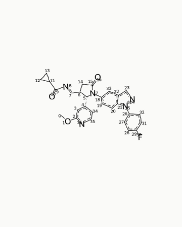 COc1cc([C@@H]2C(/C=N/C(=O)C3CC3)CC(=O)N2c2ccc3c(cnn3-c3ccc(F)cc3)c2)ccn1